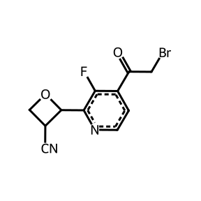 N#CC1COC1c1nccc(C(=O)CBr)c1F